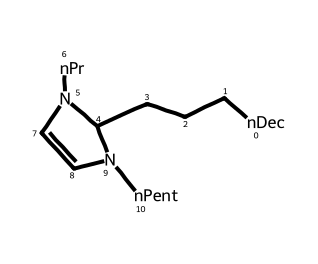 CCCCCCCCCCCCCC1N(CCC)C=CN1CCCCC